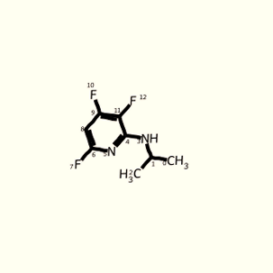 CC(C)Nc1nc(F)cc(F)c1F